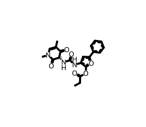 CCC(=O)Oc1oc(-c2ccccc2)cc1NC(=O)N[C@H]1C(=O)C(C)=CN(C)C1=O